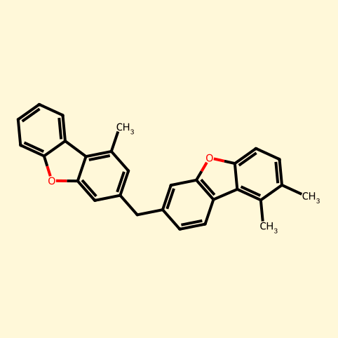 Cc1ccc2oc3cc(Cc4cc(C)c5c(c4)oc4ccccc45)ccc3c2c1C